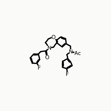 CC(=O)N(Cc1ccc(F)cc1)Cc1ccc2c(c1)CN(C(=O)Cc1cccc(F)c1)CCO2